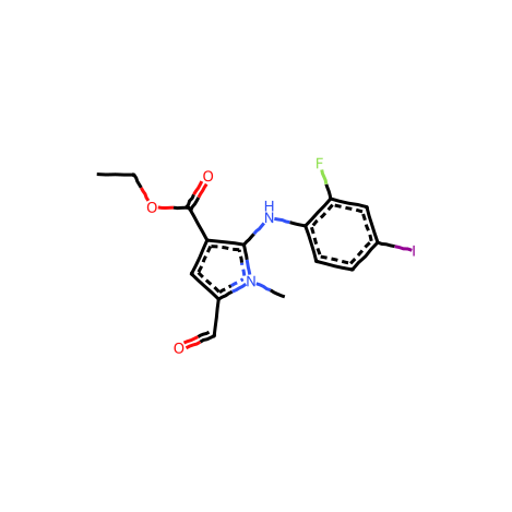 CCOC(=O)c1cc(C=O)n(C)c1Nc1ccc(I)cc1F